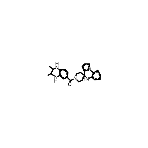 CC1Nc2ccc(C(=O)N3CCC4(CC3)Nc3ccccc3-n3cccc34)cc2NC1C